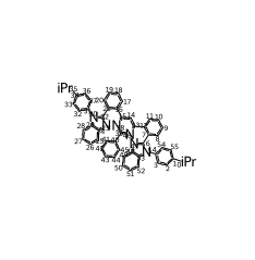 CC(C)c1ccc(-n2c(-c3ccccc3-c3cc(-c4ccccc4-c4nc5ccccc5n4-c4ccc(C(C)C)cc4)nc(-c4ccccc4)n3)nc3ccccc32)cc1